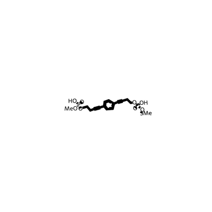 COP(=O)(O)OCCC#Cc1ccc(C#CCCOP(=O)(O)OSC)cc1